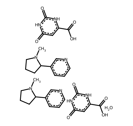 CN1CCCC1c1cccnc1.CN1CCCC1c1cccnc1.O.O=C(O)c1cc(=O)[nH]c(=O)[nH]1.O=C(O)c1cc(=O)[nH]c(=O)[nH]1